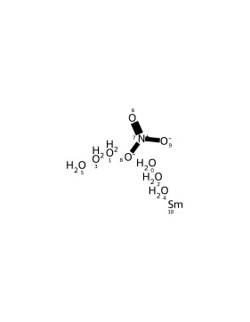 O.O.O.O.O.O.O=[N+]([O-])[O-].[Sm]